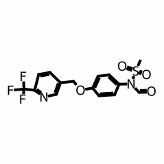 CS(=O)(=O)N(C=O)c1ccc(OCc2ccc(C(F)(F)F)nc2)cc1